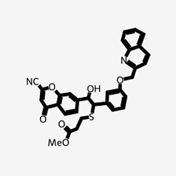 COC(=O)CCSC(c1cccc(OCc2ccc3ccccc3n2)c1)C(O)c1ccc2c(=O)cc(C#N)oc2c1